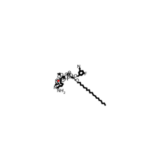 CCCCCCCCCCCCCCCCCCCOC[C@H](COP(=O)(O)OC1[C@H]2O[C@@](C#N)(c3ccc4c(N)ncnn34)[C@@H]3OC(C)(C)O[C@]123)OCc1cc(F)cc(C#N)c1